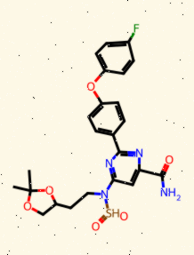 CC1(C)OCC(CCN(c2cc(C(N)=O)nc(-c3ccc(Oc4ccc(F)cc4)cc3)n2)[SH](=O)=O)O1